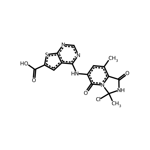 Cc1cc(Nc2ncnc3sc(C(=O)O)cc23)c(=O)n2c1C(=O)NC2(C)Cl